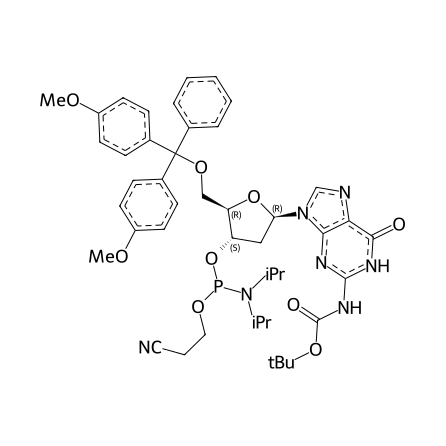 COc1ccc(C(OC[C@H]2O[C@@H](n3cnc4c(=O)[nH]c(NC(=O)OC(C)(C)C)nc43)C[C@@H]2OP(OCCC#N)N(C(C)C)C(C)C)(c2ccccc2)c2ccc(OC)cc2)cc1